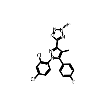 Cc1c(-c2nnn(C(C)C)n2)nn(-c2ccc(Cl)cc2Cl)c1-c1ccc(Cl)cc1